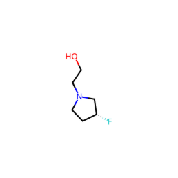 OCCN1CC[C@@H](F)C1